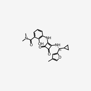 Cc1coc([C@H](Nc2c(Nc3cccc(C(=O)N(C)C)c3O)c(=O)c2=O)C2CC2)c1